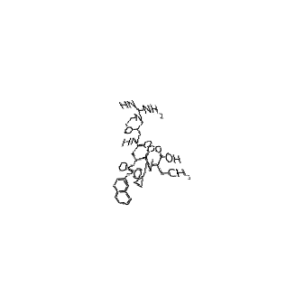 CCC(C(=O)O)N(C(=O)[C@H](CC(=O)NCC1CN(C(=N)N)CCO1)S(=O)(=O)c1ccc2ccccc2c1)C1CC1